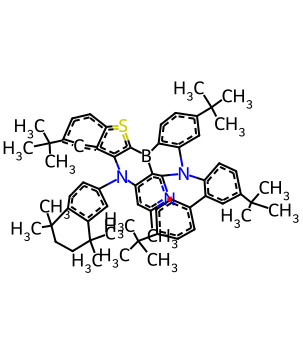 Cc1cc2c3c(n1)N(c1ccc(C(C)(C)C)cc1-c1ccc(C(C)(C)C)cc1)c1cc(C(C)(C)C)ccc1B3c1sc3ccc(C(C)(C)C)cc3c1N2c1ccc2c(c1)C(C)(C)CCC2(C)C